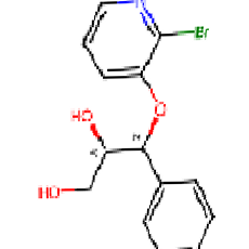 OC[C@@H](O)[C@@H](Oc1cccnc1Br)c1ccccc1